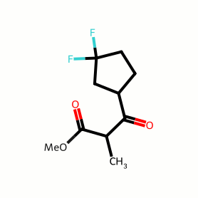 COC(=O)C(C)C(=O)C1CCC(F)(F)C1